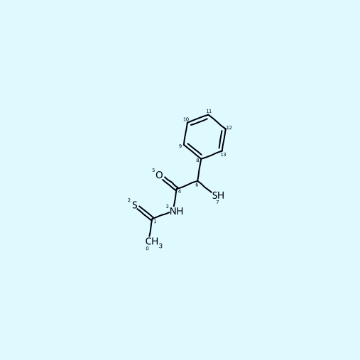 CC(=S)NC(=O)C(S)c1ccccc1